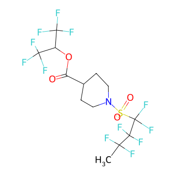 CC(F)(F)C(F)(F)C(F)(F)S(=O)(=O)N1CCC(C(=O)OC(C(F)(F)F)C(F)(F)F)CC1